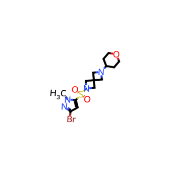 Cn1nc(Br)cc1S(=O)(=O)N1CC2(CN(C3CCOCC3)C2)C1